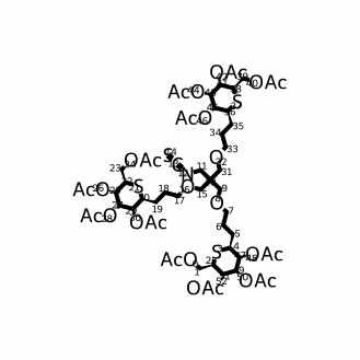 CC(=O)OC[C@H]1S[C@@H](CCCOCC(CN=C=S)(COCCC[C@@H]2S[C@H](COC(C)=O)[C@@H](OC(C)=O)[C@H](OC(C)=O)[C@@H]2OC(C)=O)COCCC[C@@H]2S[C@H](COC(C)=O)[C@@H](OC(C)=O)[C@H](OC(C)=O)[C@@H]2OC(C)=O)[C@@H](OC(C)=O)[C@@H](OC(C)=O)[C@@H]1OC(C)=O